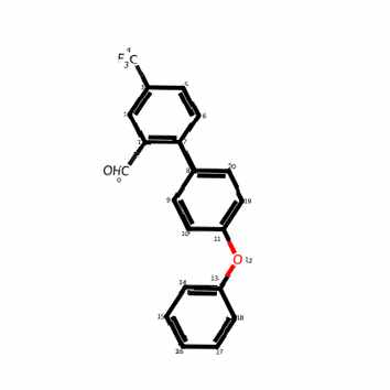 O=Cc1cc(C(F)(F)F)ccc1-c1ccc(Oc2ccccc2)cc1